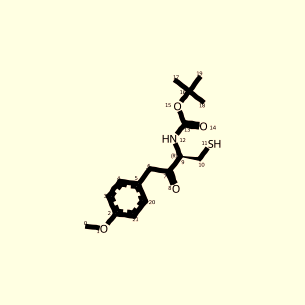 COc1ccc([CH]C(=O)[C@H](CS)NC(=O)OC(C)(C)C)cc1